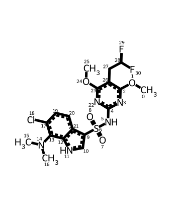 COc1nc(NS(=O)(=O)c2c[nH]c3c(N(C)C)c(Cl)ccc23)nc(OC)c1CC(F)F